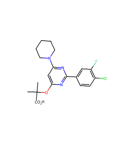 CC(C)(Oc1cc(N2CCCCC2)nc(-c2ccc(Cl)c(F)c2)n1)C(=O)O